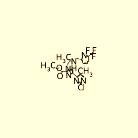 CCOC(=O)c1nc(-c2nc(Cl)ncc2C)cn1CC(C)NCc1cccc(C(F)(F)F)n1